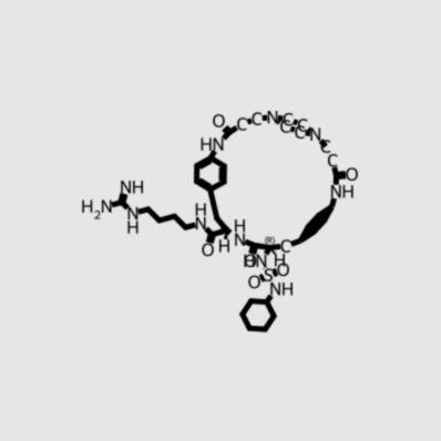 N=C(N)NCCCCNC(=O)[C@@H]1Cc2ccc(cc2)NC(=O)CCN2CCN(CCC(=O)Nc3ccc(cc3)C[C@@H](NS(=O)(=O)NC3CCCCC3)C(=O)N1)CC2